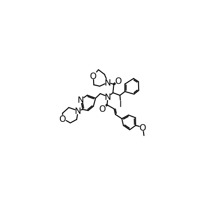 COc1ccc(C=CC(=O)N(Cc2ccc(N3CCOCC3)nc2)C(C(=O)N2CCOCC2)C(I)c2ccccc2)cc1